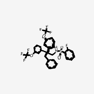 O=S(=O)(NCC(Cc1ccccc1)(c1cccc(OC(F)(F)F)c1)c1cccc(OC(F)(F)F)c1)c1ccccc1F